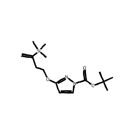 C=C(CCOc1ccn(C(=O)OC(C)(C)C)n1)[Si](C)(C)C